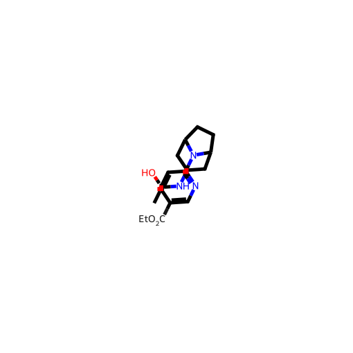 CCOC(=O)c1ccc(N2C3CCC2CC(NB(C)O)C3)nc1